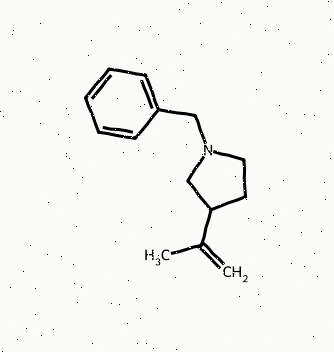 C=C(C)C1CCN(Cc2ccccc2)C1